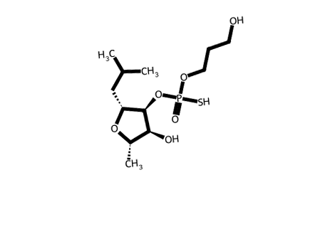 CC(C)C[C@H]1O[C@@H](C)[C@H](O)[C@@H]1OP(=O)(S)OCCCO